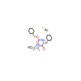 CC(=O)F.C[C@H](NC(=O)[C@H](Cc1ccccc1)NC(=O)OCc1ccccc1)C(=O)O